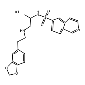 CC(CNCCc1ccc2c(c1)OCO2)NS(=O)(=O)c1ccc2cnccc2c1.Cl